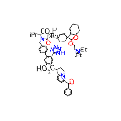 CCCCC(=O)N(Cc1ccc(-c2ccccc2-c2nnn[nH]2)cc1)[C@H](C(=O)O)C(C)C.CCN(CC)CCOC(=O)C1(C2CCCCC2)CCCCC1.O=C(c1ccccc1)c1ccc2n1CCC2C(=O)O